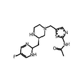 CC(=O)Nc1ncc(CN2CCN[C@H](CC3N=CC(F)=CN3)C2)s1